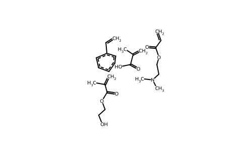 C=C(C)C(=O)O.C=C(C)C(=O)OCCO.C=CC(=O)OCCN(C)C.C=Cc1ccccc1